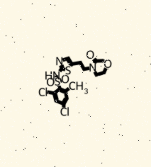 Cc1cc(Cl)cc(Cl)c1S(=O)(=O)Nc1ncc(CCN2CCOCC2=O)s1